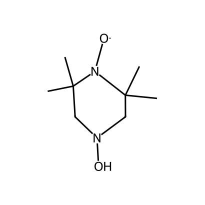 CC1(C)CN(O)CC(C)(C)N1[O]